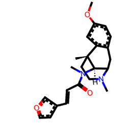 COc1ccc2c(c1)[C@@]1(C)CCN(C)C(C2)[C@H]1N(C)C(=O)/C=C/c1ccoc1